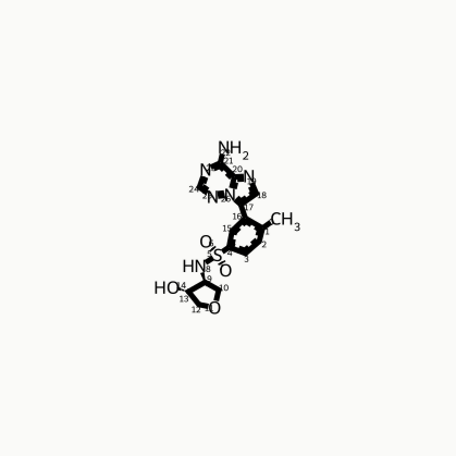 Cc1ccc(S(=O)(=O)N[C@H]2COC[C@@H]2O)cc1-c1cnc2c(N)ncnn12